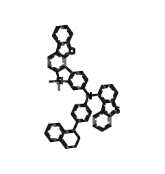 C[Si]1(C)c2cc(N(c3ccc(C4=c5ccccc5=CCC4)cc3)c3cccc4sc5ccccc5c34)ccc2-c2c1ccc1c2oc2ccccc21